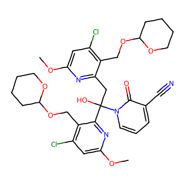 COc1cc(Cl)c(COC2CCCCO2)c(CC(O)(c2nc(OC)cc(Cl)c2COC2CCCCO2)n2cccc(C#N)c2=O)n1